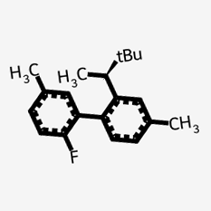 Cc1ccc(F)c(-c2ccc(C)cc2[C@@H](C)C(C)(C)C)c1